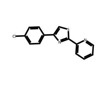 Clc1ccc(-c2csc(-c3ccccn3)n2)cc1